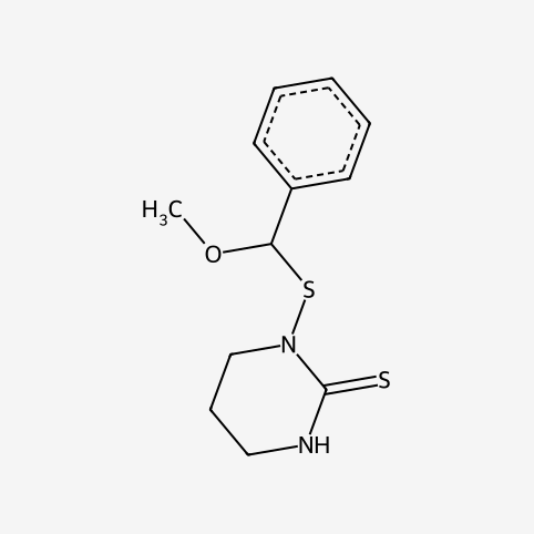 COC(SN1CCCNC1=S)c1ccccc1